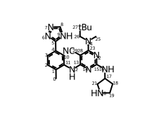 Cc1ccc(-c2nnc[nH]2)cc1Nc1nc(NC2CCNC2)nc(N(C)CC(C)(C)C)c1C#N